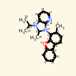 Cc1ccc2c(oc3ccccc32)c1N1c2ncccc2N(C(C)C)C1C